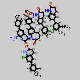 Nc1cc(-c2ccc(C(F)(F)F)cc2)cc2c1NC(=O)CC2.O=C1CCCc2cc(-c3ccc(S(=O)(=O)C(F)(F)F)cc3)ccc2N1.O=C1CCc2cc(-c3ccc(C(F)(F)F)c(Cl)c3)ccc2N1.O=C1CCc2cc(-c3ccc(C(F)(F)F)c(F)c3)cc(F)c2N1.O=C1CCc2cc(-c3ccc(C(F)(F)F)c([N+](=O)[O-])c3)ccc2N1